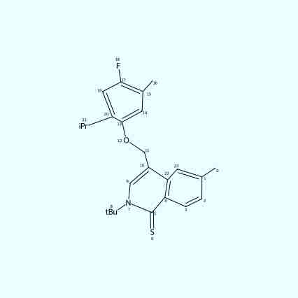 Cc1ccc2c(=S)n(C(C)(C)C)cc(COc3cc(C)c(F)cc3C(C)C)c2c1